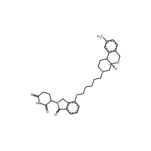 Cc1ccc2c(c1)C1CCN(CCCCCOc3cccc4c3CN(C3CCC(=O)NC3=O)C4=O)C[C@H]1OC2